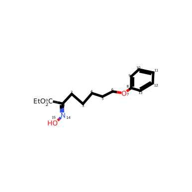 CCOC(=O)C(CCCCCOc1ccccc1)=NO